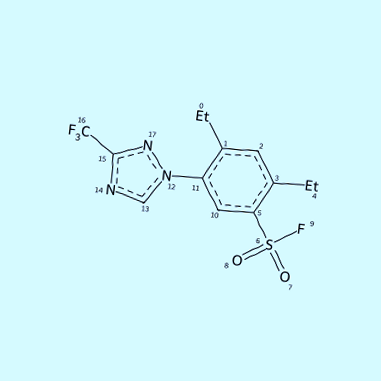 CCc1cc(CC)c(S(=O)(=O)F)cc1-n1cnc(C(F)(F)F)n1